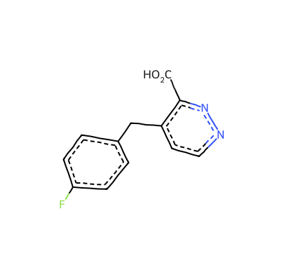 O=C(O)c1nnccc1Cc1ccc(F)cc1